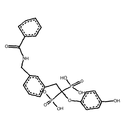 O=C(NCc1cccc(CC(Oc2ccc(O)cc2)(P(=O)(O)O)P(=O)(O)O)c1)c1ccccc1